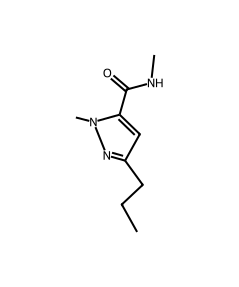 CCCc1cc(C(=O)NC)n(C)n1